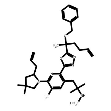 C=CCCC(OCc1ccccc1)(c1nnc(-c2nc(N3CC(C)(C)CC3CC=C)c(C(F)(F)F)cc2CC(C)(C)NC(=O)O)o1)C(F)(F)F